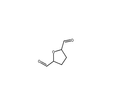 O=CC1CCC(C=O)O1